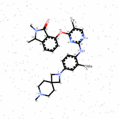 COc1cc(N2CC3(CCN(C)CC3)C2)ccc1Nc1ncc(C(F)(F)F)c(Oc2cccc3c2C(=O)N(C)C3C)n1